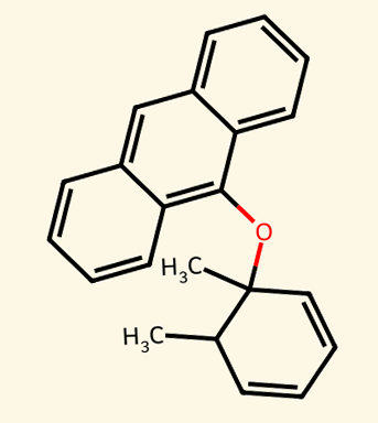 CC1C=CC=CC1(C)Oc1c2ccccc2cc2ccccc12